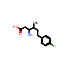 CC(CCc1ccc(Cl)cc1)C(N)CC(=O)O